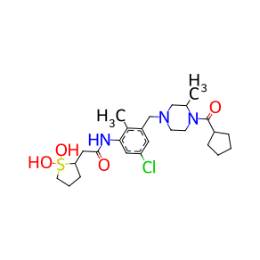 Cc1c(CN2CCN(C(=O)C3CCCC3)C(C)C2)cc(Cl)cc1NC(=O)CC1CCCS1(O)O